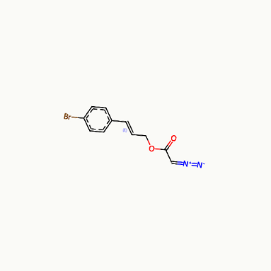 [N-]=[N+]=CC(=O)OC/C=C/c1ccc(Br)cc1